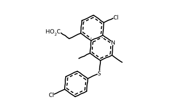 Cc1nc2c(Cl)ccc(CC(=O)O)c2c(C)c1Sc1ccc(Cl)cc1